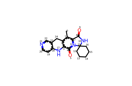 Cc1c2c(c(=O)n3c1C(=O)NC31CCCCC1)Nc1ccncc1C2